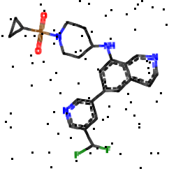 O=S(=O)(C1CC1)N1CCC(Nc2cc(-c3cncc(C(F)F)c3)cc3ccncc23)CC1